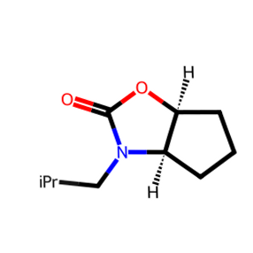 CC(C)CN1C(=O)O[C@H]2CCC[C@H]21